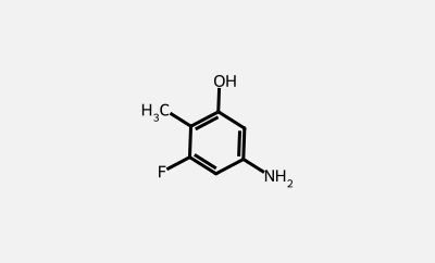 Cc1c(O)cc(N)cc1F